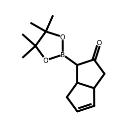 CC1(C)OB(C2C(=O)CC3C=CCC32)OC1(C)C